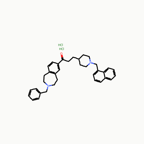 Cl.Cl.O=C(CCC1CCN(Cc2cccc3ccccc23)CC1)c1ccc2c(c1)CCN(Cc1ccccc1)CC2